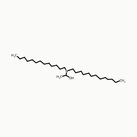 CCCCCCCCCCCCCN(CCCCCCCCCCCCC)C(C)O